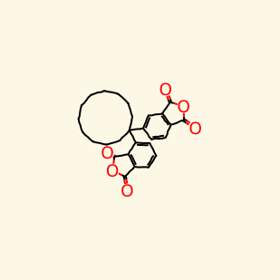 O=C1OC(=O)c2cc(C3(c4cccc5c4C(=O)OC5=O)CCCCCCCCCCC3)ccc21